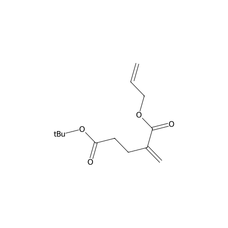 C=CCOC(=O)C(=C)CCC(=O)OC(C)(C)C